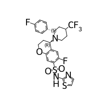 O=S(=O)(Nc1nccs1)c1cc2c(cc1F)[C@H](N1CCC(C(F)(F)F)C[C@H]1c1ccc(F)cc1)CCO2